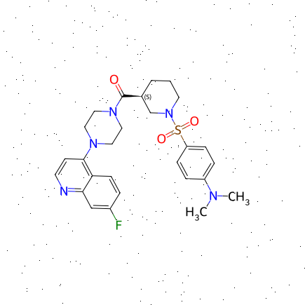 CN(C)c1ccc(S(=O)(=O)N2CCC[C@H](C(=O)N3CCN(c4ccnc5cc(F)ccc45)CC3)C2)cc1